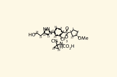 CO[C@H]1CC[C@H](S(=O)(=O)c2ccc(-n3cc(CCO)nn3)cc2C(F)(F)F)C1.N#CC1(NC(=O)O)CC1